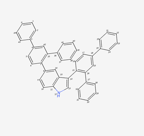 c1ccc(-c2ccc(-c3ccc4[nH]cc(-c5ccc(-c6ccccc6)cc5-c5ccccc5)c4c3)c(-c3ccccc3)c2)cc1